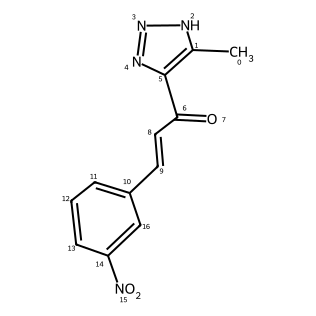 Cc1[nH]nnc1C(=O)/C=C/c1cccc([N+](=O)[O-])c1